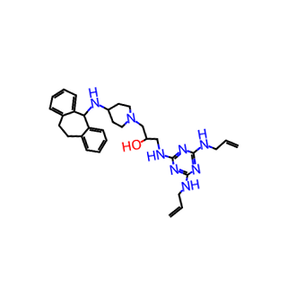 C=CCNc1nc(NCC=C)nc(NCC(O)CN2CCC(NC3c4ccccc4CCc4ccccc43)CC2)n1